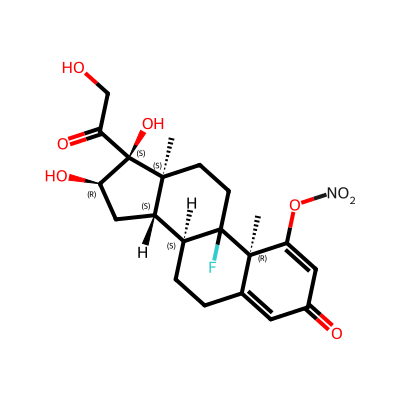 C[C@@]12C(=CC(=O)C=C1O[N+](=O)[O-])CC[C@H]1[C@@H]3C[C@@H](O)[C@](O)(C(=O)CO)[C@@]3(C)CCC12F